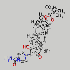 CC(C)C1=C2[C@H]3CC[C@@H]4[C@@]5(C)CC[C@H](OC(=O)CC(C)(C)C(=O)O)C(C)(C)[C@@H]5CC[C@@]4(C)[C@]3(C)CC[C@@]2([C@H](O)CN2CCN(C(N)=O)CC2)CC1=O